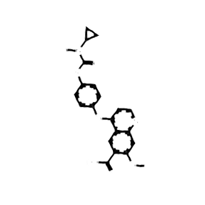 COc1cc2nccc(Oc3ccc(NC(=O)N(Cl)C4CC4)cc3)c2cc1C(=O)O